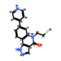 O=c1c2cn[nH]c2c2ccc(-c3ccncc3)cc2n1CCF